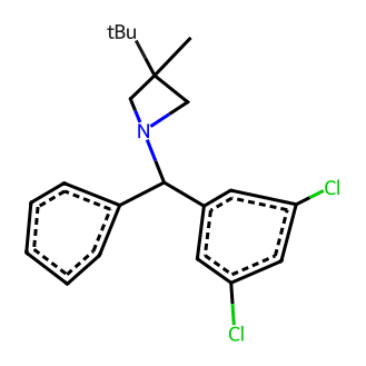 CC(C)(C)C1(C)CN(C(c2ccccc2)c2cc(Cl)cc(Cl)c2)C1